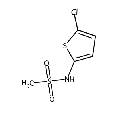 CS(=O)(=O)Nc1ccc(Cl)s1